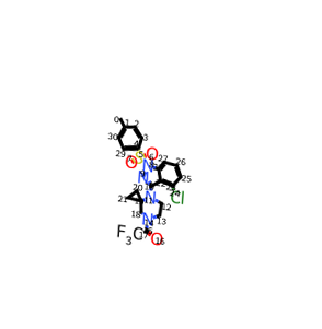 Cc1ccc(S(=O)(=O)n2nc(N3CCN(C(=O)C(F)(F)F)CC34CC4)c3c(Cl)cccc32)cc1